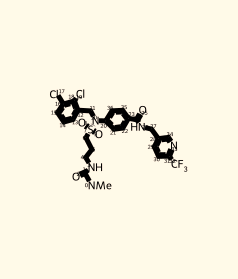 CNC(=O)NCCCS(=O)(=O)N(Cc1cccc(Cl)c1Cl)c1ccc(C(=O)NCc2ccc(C(F)(F)F)nc2)cc1